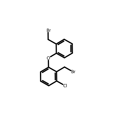 Clc1cccc(Oc2ccccc2CBr)c1CBr